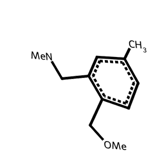 CNCc1cc(C)ccc1COC